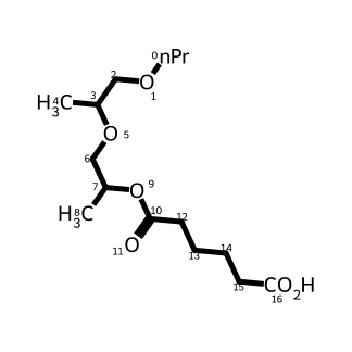 CCCOCC(C)OCC(C)OC(=O)CCCCC(=O)O